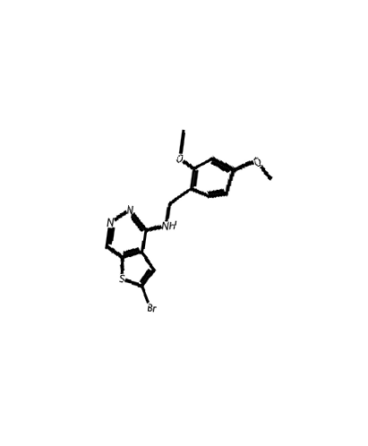 COc1ccc(CNc2nncc3sc(Br)cc23)c(OC)c1